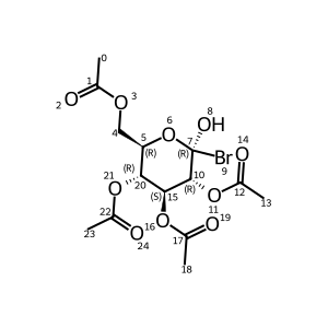 CC(=O)OC[C@H]1O[C@@](O)(Br)[C@H](OC(C)=O)[C@@H](OC(C)=O)[C@@H]1OC(C)=O